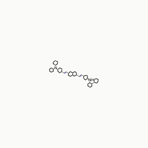 C(=C\c1ccc2cc(/C=C/c3ccc(N(c4ccccc4)c4ccccc4)cc3)ccc2c1)/c1ccc(Nc2ccccc2-c2ccccc2)cc1